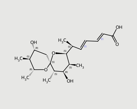 C[C@H]1[C@@H](O)[C@H](C)[C@]2(C[C@@H](O)[C@H](C)[C@@H](C)O2)O[C@H]1[C@@H](C)/C=C/C=C/C(=O)O